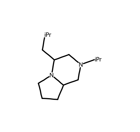 CC(C)CC1CN(C(C)C)CC2CCCN21